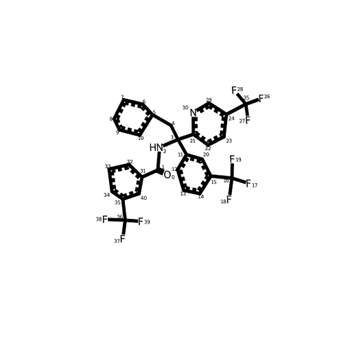 O=C(NC(Cc1ccccc1)(c1cccc(C(F)(F)F)c1)c1ccc(C(F)(F)F)cn1)c1cccc(C(F)(F)F)c1